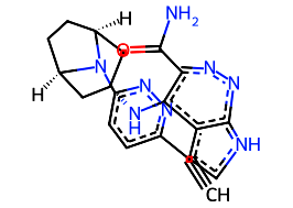 C#Cc1ccc(N2[C@@H]3CC[C@H]2C[C@H](Nc2c(C(N)=O)nnc4[nH]ccc24)C3)nn1